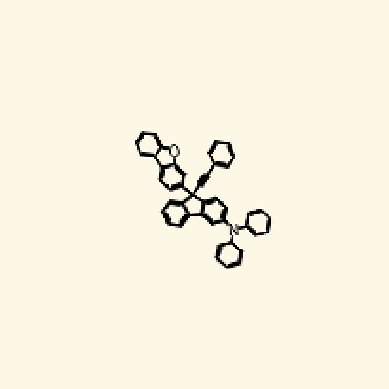 C(#CC1(c2ccc3c(c2)oc2ccccc23)c2ccccc2-c2cc(N(c3ccccc3)C3C=CC=CC3)ccc21)c1ccccc1